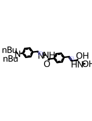 CCCCN(CCCC)c1ccc(/C=N/NC(=O)c2ccc(/C=C/C(O)NO)cc2)cc1